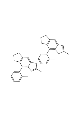 CC1=Cc2c(cc3c(c2-c2ccccc2C)CCC3)C1.CC1=Cc2cc3c(c(-c4ccccc4C)c2C1)CCC3